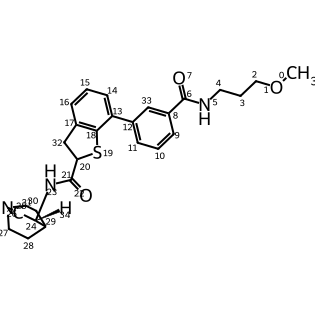 COCCCNC(=O)c1cccc(-c2cccc3c2SC(C(=O)N[C@H]2CN4CCC2CC4)C3)c1